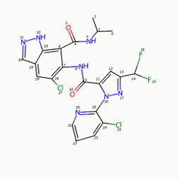 CC(C)NC(=O)c1c(NC(=O)c2cc(C(F)F)nn2-c2ncccc2Cl)c(Cl)cc2cn[nH]c12